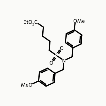 CCOC(=O)CCCCS(=O)(=O)N(Cc1ccc(OC)cc1)Cc1ccc(OC)cc1